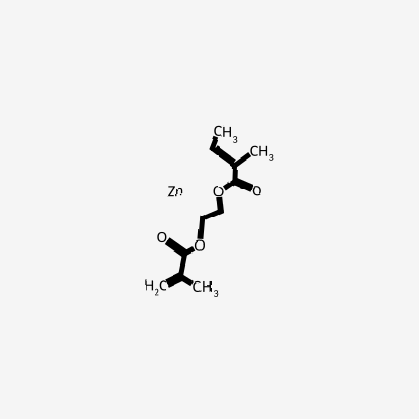 C=C(C)C(=O)OCCOC(=O)C(C)=CC.[Zn]